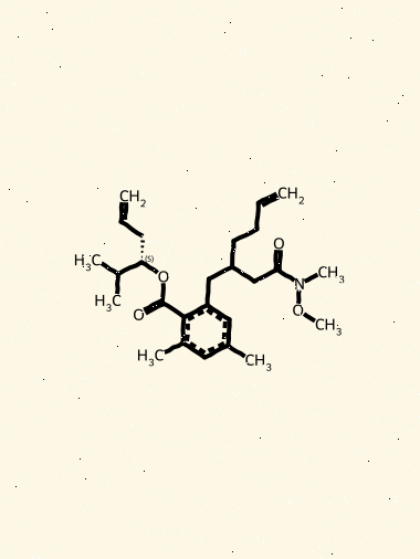 C=CCCC(CC(=O)N(C)OC)Cc1cc(C)cc(C)c1C(=O)O[C@@H](CC=C)C(C)C